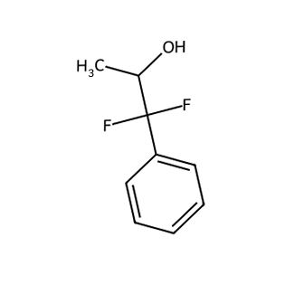 CC(O)C(F)(F)c1ccccc1